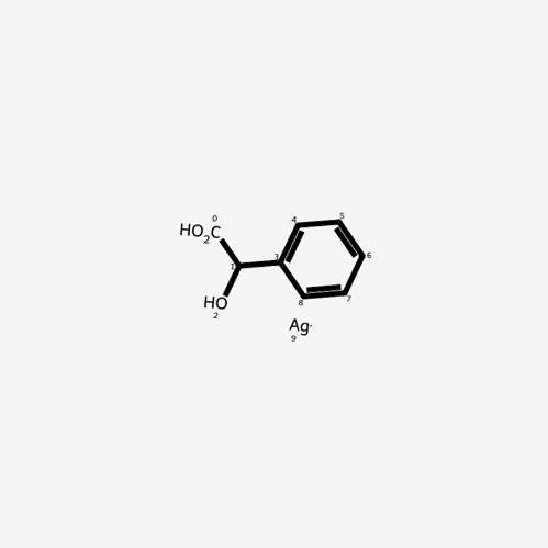 O=C(O)C(O)c1ccccc1.[Ag]